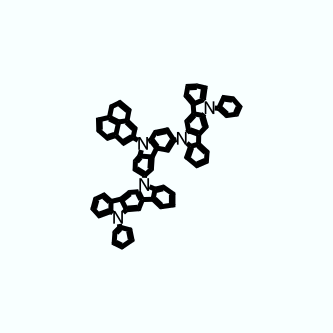 C1=Cc2cc(-n3c4ccc(-n5c6ccccc6c6cc7c(cc65)c5ccccc5n7-c5ccccc5)cc4c4cc(-n5c6ccccc6c6cc7c(cc65)c5ccccc5n7-c5ccccc5)ccc43)cc3cccc(c23)C1